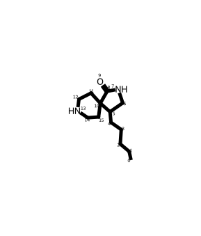 CCCCCC1CNC(=O)C12CCNCC2